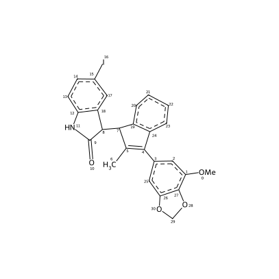 COc1cc(C2=C(C)C(C3C(=O)Nc4ccc(I)cc43)c3ccccc32)cc2c1OCO2